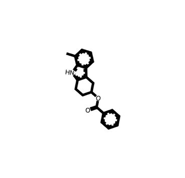 Cc1cccc2c3c([nH]c12)CCC(OC(=O)c1ccccc1)C3